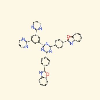 c1cnc(-c2cc(-c3ncccn3)cc(-c3nc(-c4ccc(-c5nc6ccccc6o5)cc4)nc(-c4ccc(-c5nc6ccccc6o5)cc4)n3)c2)nc1